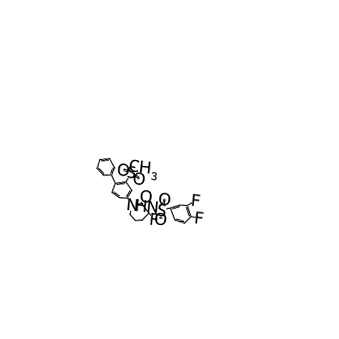 CS(=O)(=O)c1cc(N2CCCC(F)(NS(=O)(=O)c3ccc(F)c(F)c3)C2=O)ccc1-c1ccccc1